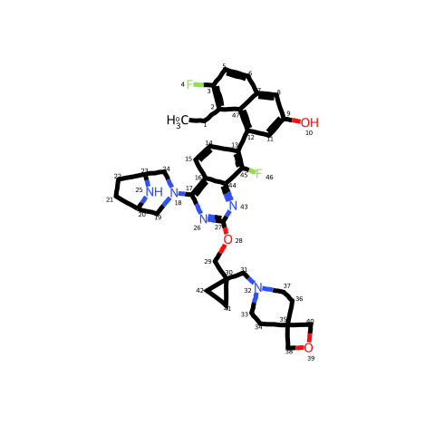 CCc1c(F)ccc2cc(O)cc(-c3ccc4c(N5CC6CCC(C5)N6)nc(OCC5(CN6CCC7(CC6)COC7)CC5)nc4c3F)c12